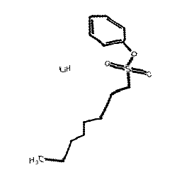 CCCCCCCCS(=O)(=O)Oc1ccccc1.[LiH]